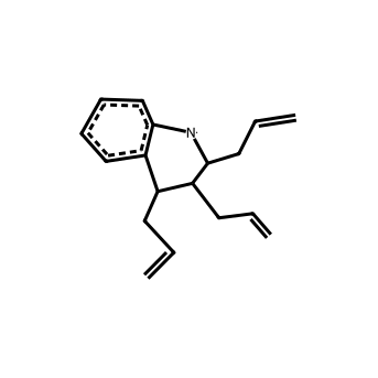 C=CCC1[N]c2ccccc2C(CC=C)C1CC=C